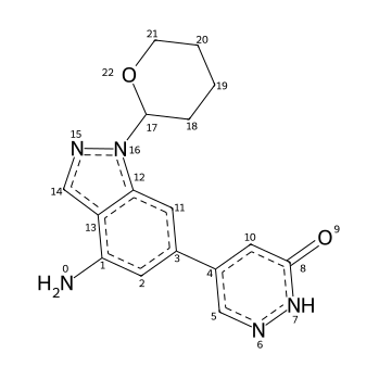 Nc1cc(-c2cn[nH]c(=O)c2)cc2c1cnn2C1CCCCO1